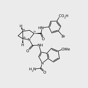 COc1ccc2c(c1)c(NC(=O)N1[C@@H]3C[C@@H]3C[C@H]1C(=O)Nc1cc(Br)cc(C(=O)O)c1)cn2C(N)=O